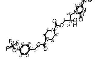 C[C@](O)(COC(=O)N1CCN(C(=O)OCc2ccc(OC(F)(F)F)cc2)CC1)Cn1cc([N+](=O)[O-])nc1Cl